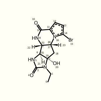 CCN1C(=O)N[C@H]2[C@@H]3NC(=O)c4ccc(Br)n4[C@@H]3C[C@]21O